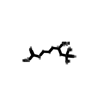 CCCCCCCCC(=O)OCCC[C@H](CP(=O)(O)O)C(=O)O